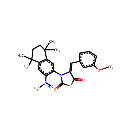 CN(C)c1cc2c(cc1N1C(=O)SC(=O)C1=Cc1cccc(OC(F)(F)F)c1)C(C)(C)CCC2(C)C